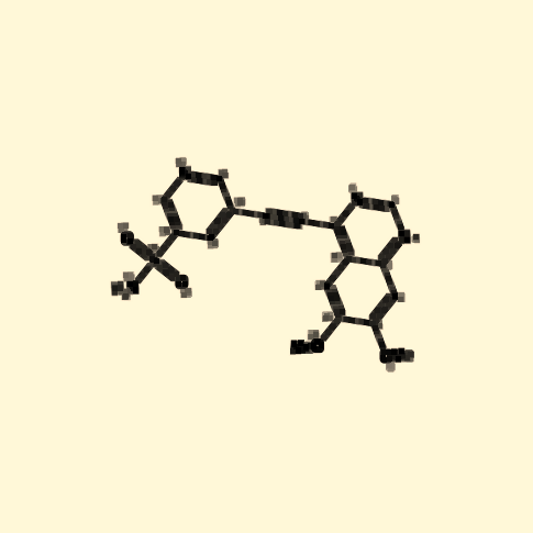 COc1cc2ncnc(C#Cc3cncc(S(N)(=O)=O)c3)c2cc1OC